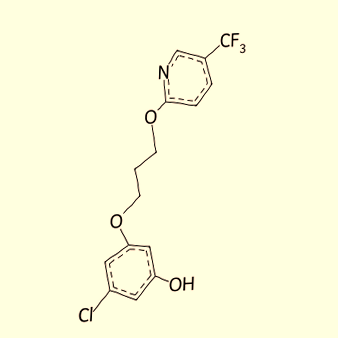 Oc1cc(Cl)cc(OCCCOc2ccc(C(F)(F)F)cn2)c1